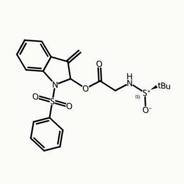 C=C1c2ccccc2N(S(=O)(=O)c2ccccc2)C1OC(=O)CN[S@+]([O-])C(C)(C)C